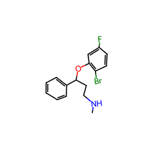 CNCCC(Oc1cc(F)ccc1Br)c1ccccc1